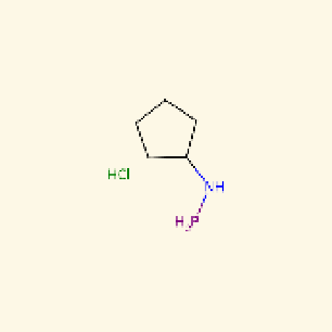 Cl.PNC1CCCC1